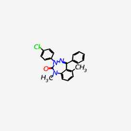 Cc1cccc2c1C(c1ccccc1)=NN(c1ccc(Cl)cc1)C(=O)N2C